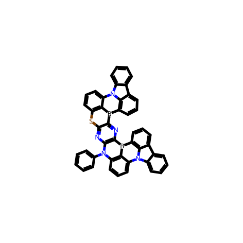 c1ccc(N2c3cccc4c3B(c3nc5c(nc32)Sc2cccc3c2B5c2cccc5c6ccccc6n-3c25)c2cccc3c5ccccc5n-4c23)cc1